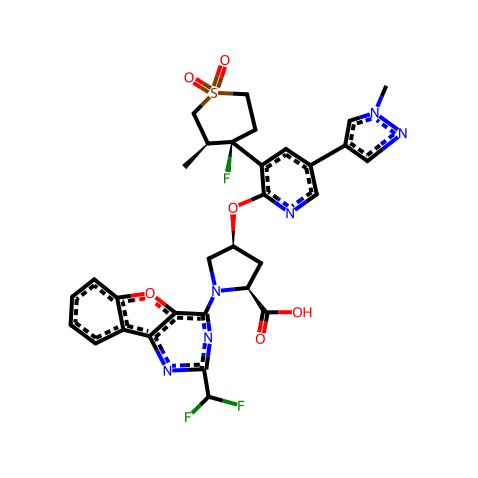 C[C@H]1CS(=O)(=O)CC[C@]1(F)c1cc(-c2cnn(C)c2)cnc1O[C@H]1C[C@@H](C(=O)O)N(c2nc(C(F)F)nc3c2oc2ccccc23)C1